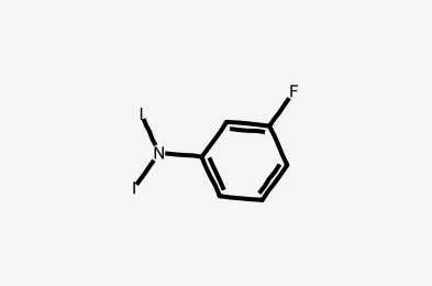 Fc1cccc(N(I)I)c1